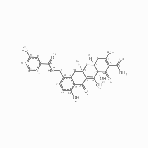 NC(=O)C1=C(O)C[C@@H]2C[C@@H]3Cc4c(CNC(=O)c5cc(O)ncn5)ccc(O)c4C(=O)C3=C(O)[C@]2(O)C1=O